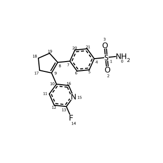 NS(=O)(=O)c1ccc(C2=C(c3ccc(F)nc3)CCC2)cc1